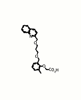 Cc1cccc(COCCCOCc2ccc3ccccc3n2)c1OCC(=O)O